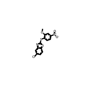 COc1cc([N+](=O)[O-])ccc1Sc1nc2cc(Cl)ccc2s1